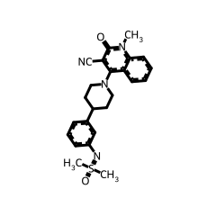 Cn1c(=O)c(C#N)c(N2CCC(c3cccc(N=S(C)(C)=O)c3)CC2)c2ccccc21